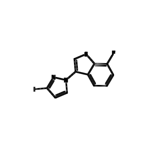 Fc1cccc2c(-n3ccc(I)n3)csc12